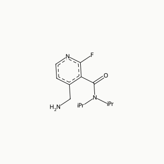 CC(C)N(C(=O)c1c(CN)ccnc1F)C(C)C